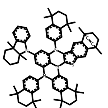 CC1(C)CCC(C)(C)c2cc(N3c4cc5c(cc4B4c6sc7cc8c(cc7c6N(c6ccc7c(c6)C(C)(C)CCC7(C)C)c6cc(N7c9ccccc9C9(C)CCCCC79C)cc3c64)C3(C)CCC8(C)CC3)C(C)(C)CCC5(C)C)ccc21